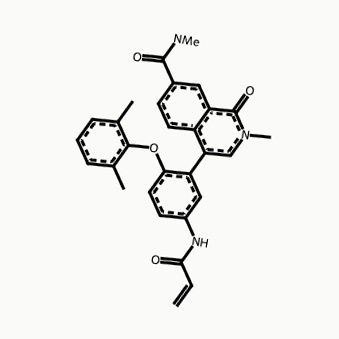 C=CC(=O)Nc1ccc(Oc2c(C)cccc2C)c(-c2cn(C)c(=O)c3cc(C(=O)NC)ccc23)c1